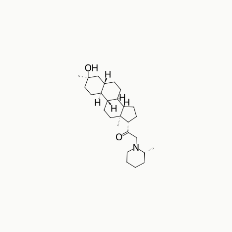 C[C@@H]1CCCCN1CC(=O)[C@H]1CC[C@H]2[C@@H]3CC[C@H]4C[C@](C)(O)CC[C@@H]4[C@H]3CC[C@]12C